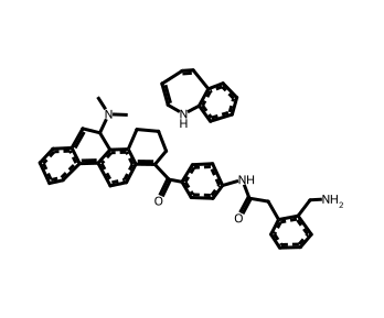 C1=CNc2ccccc2C=C1.CN(C)C1C=c2ccccc2=c2ccc3c(c21)CCCC=3C(=O)c1ccc(NC(=O)Cc2ccccc2CN)cc1